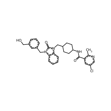 Cc1ncc(Cl)cc1C(=O)NC1CCC(Cn2c(=O)n(Cc3cccc(CO)c3)c3ccccc32)CC1